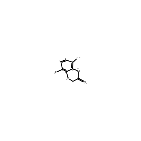 O=C1COc2c(F)ccc(F)c2N1